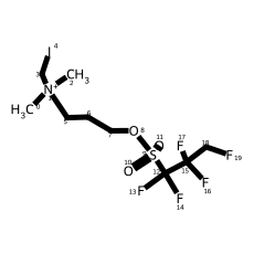 C[N+](C)(CI)CCCOS(=O)(=O)C(F)(F)C(F)(F)CF